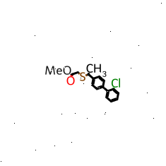 COC(=O)CSC(C)c1ccc(-c2ccccc2Cl)cc1